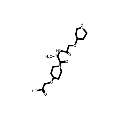 C[C@H](NC(=O)COC1CCNCC1)C(=O)N1CCC(OCC(=O)O)CC1